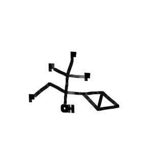 OC(CF)(C1C2CC21)C(F)(F)F